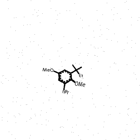 [CH2]CCc1cc(OC)cc(C(C)(C)CC)c1OC